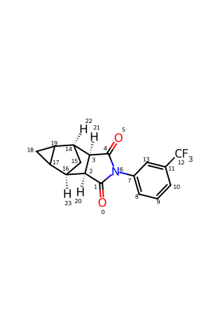 O=C1[C@@H]2[C@H](C(=O)N1c1cccc(C(F)(F)F)c1)[C@H]1C[C@@H]2C2CC21